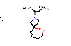 CC(C)N1CC2(CCCCO2)C1